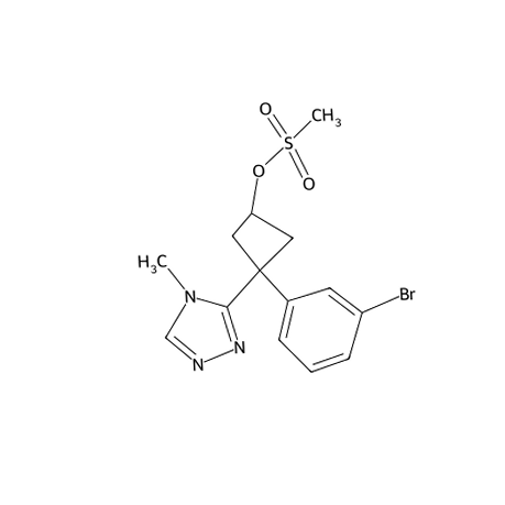 Cn1cnnc1C1(c2cccc(Br)c2)CC(OS(C)(=O)=O)C1